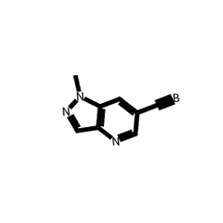 B#Cc1cnc2cnn(C)c2c1